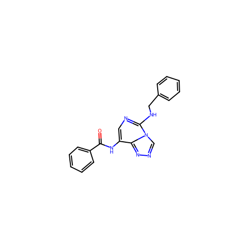 O=C(Nc1cnc(NCc2ccccc2)n2cnnc12)c1ccccc1